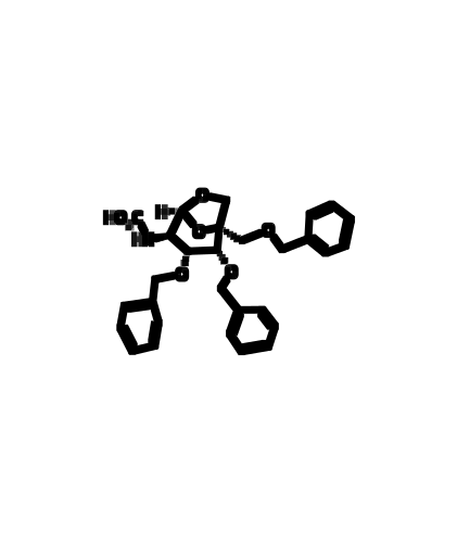 O=C(O)N[C@H]1[C@H]2OC[C@](COCc3ccccc3)(O2)[C@H](OCc2ccccc2)[C@@H]1OCc1ccccc1